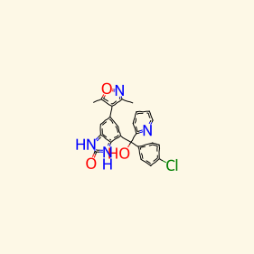 Cc1noc(C)c1-c1cc(C(O)(c2ccc(Cl)cc2)c2ccccn2)c2[nH]c(=O)[nH]c2c1